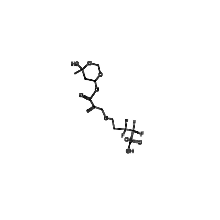 C=C(COCCC(F)(F)C(F)(F)S(=O)(=O)O)C(=O)OC1CC(C)(O)OCO1